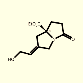 CCOC(=O)[C@@]12CCC(=O)N1CC(=CCO)C2